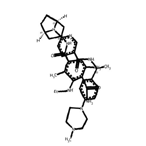 CCNc1c(C)c(C(=O)N[C@H]2C[C@H]3CC[C@@H](C2)N3c2ccc(C(=O)N[C@@H](C)c3ccc(N4CCN(C)CC4)cc3)cn2)cc(C)c1C(N)=O